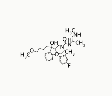 CNCC(C)NC(=O)N1CCCC(C(O)(CCCCOC)c2ccccc2Oc2ccc(F)cc2C)C1